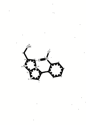 O=[N+]([O-])c1ccccc1-c1csc2nc(CO)cn12